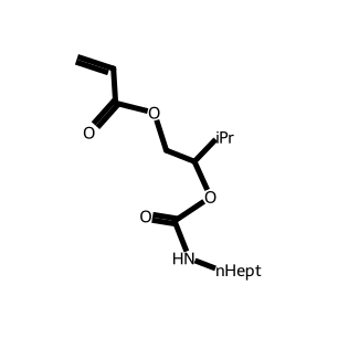 C=CC(=O)OCC(OC(=O)NCCCCCCC)C(C)C